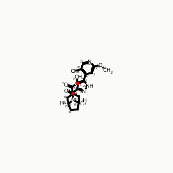 COC(=O)C1C[C@H]2CC[C@@H](C1)N2C(=O)c1cc(-c2cc(OC)ncc2Cl)[nH]n1